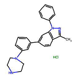 Cc1nn(-c2ccccc2)c2cc(-c3cccc(N4CCNCC4)c3)ccc12.Cl